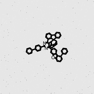 c1ccc(-c2ccc(-c3nc(-c4ccc5c(c4)oc4cccc(-c6ccccc6)c45)nc(-c4cccc5c4C4(c6ccccc6-5)C5CC6CC(C5)CC4C6)n3)cc2)cc1